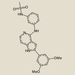 COc1cc(OC)cc(-c2cc3c(Nc4cccc(NS(C)(=O)=O)c4)nccc3[nH]2)c1